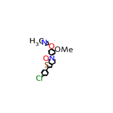 COc1cc(N2CCc3cc(-c4ccc(Cl)cc4)sc3C2=O)ccc1OC1CN(C)C1